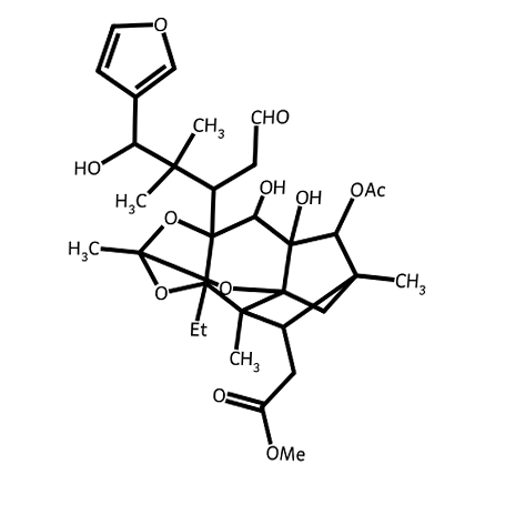 CCC12OC3(C)OC1(C(CC=O)C(C)(C)C(O)c1ccoc1)C(O)C1(O)C(OC(C)=O)C4(C)CC1(O3)C2(C)C4CC(=O)OC